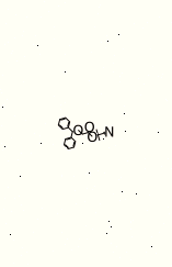 CC(C)(C#N)OC(=O)COC(c1ccccc1)c1ccccc1